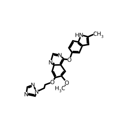 COc1cc2c(Oc3ccc4[nH]c(C)cc4c3)ncnc2cc1OCCn1cncn1